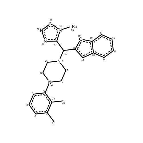 Cc1cccc(N2CCN(C(c3cc4ccccc4o3)c3nnnn3C(C)(C)C)CC2)c1C